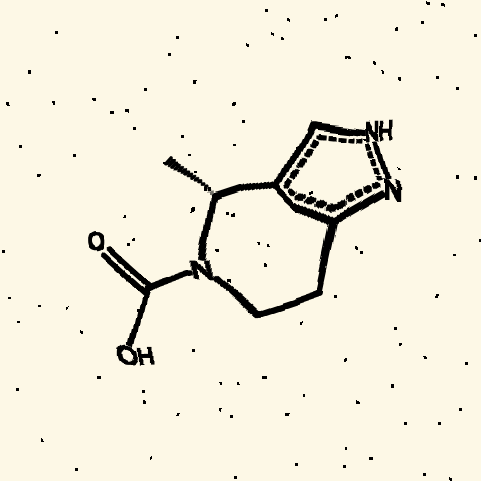 C[C@@H]1c2c[nH]nc2CCN1C(=O)O